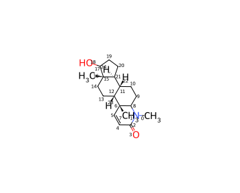 CN1C(=O)C=C[C@@]2(C)C1CC[C@@H]1[C@H]2CC[C@]2(C)C(O)CC[C@@H]12